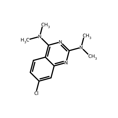 CN(C)c1nc(N(C)C)c2ccc(Cl)cc2n1